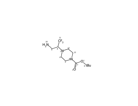 CC(C)(C)OC(=O)N1CCN(C(CN)C(F)(F)F)CC1